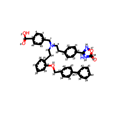 O=C(O)c1ccc(CN(CCc2ccc(-c3noc(=O)[nH]3)cc2)CCc2ccccc2OCc2ccc(-c3ccccc3)cc2)cc1